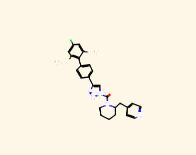 COc1cc(Cl)cc(OC)c1-c1ccc(-c2cn(C(=O)N3CCCCC3Cc3ccncc3)nn2)cc1